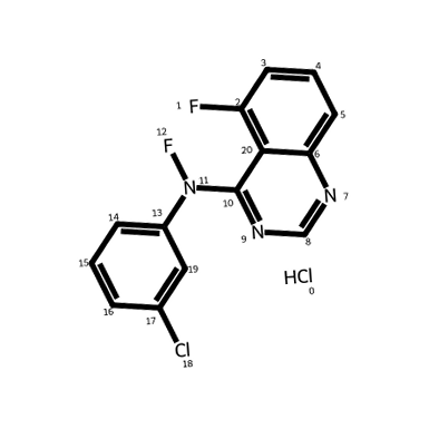 Cl.Fc1cccc2ncnc(N(F)c3cccc(Cl)c3)c12